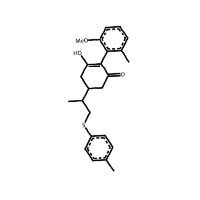 COc1cccc(C)c1C1=C(O)CC(C(C)CSc2ccc(C)cc2)CC1=O